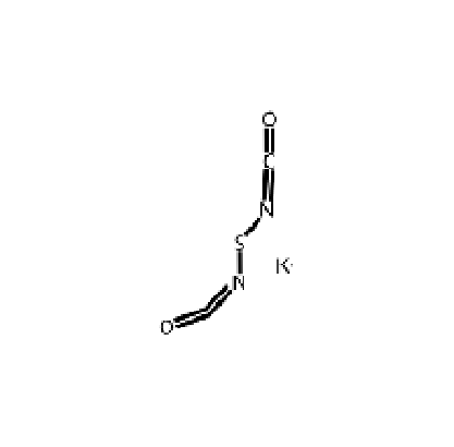 O=C=NSN=C=O.[K]